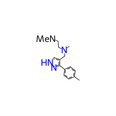 CNCCN(C)Cc1c[nH]nc1-c1ccc(C)cc1